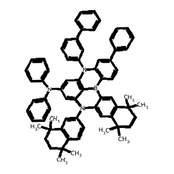 CC1(C)CCC(C)(C)c2cc(N3c4cc5c(cc4B4c6ccc(-c7ccccc7)cc6N(c6cccc(-c7ccccc7)c6)c6cc(N(c7ccccc7)c7ccccc7)cc3c64)C(C)(C)CCC5(C)C)ccc21